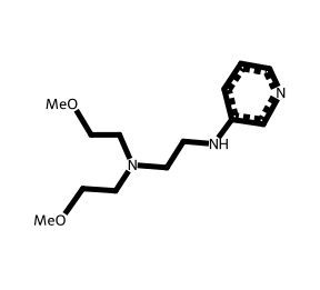 COCCN(CCNc1cccnc1)CCOC